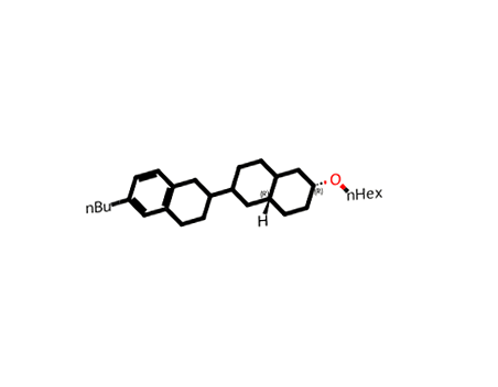 CCCCCCO[C@@H]1CC[C@@H]2CC(C3CCc4cc(CCCC)ccc4C3)CCC2C1